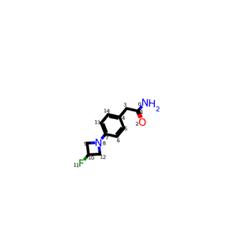 NC(=O)Cc1ccc(N2CC(F)C2)cc1